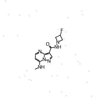 CNc1ccnc2c(C(=O)NN3CC(F)C3)cnn12